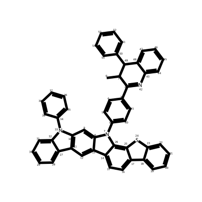 CC1C(c2ccc(-n3c4cc5c(cc4c4ccc6c7ccccc7sc6c43)c3ccccc3n5-c3ccccc3)cc2)=Nc2ccccc2C1c1ccccc1